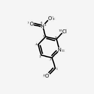 O=Cc1ccc([N+](=O)[O-])c(Cl)n1